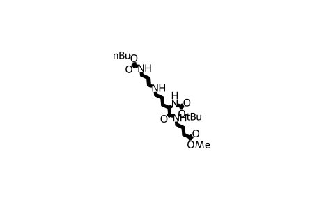 CCCCOC(=O)NCCCNCCCC(NC(=O)OC(C)(C)C)C(=O)NCCCC(=O)OC